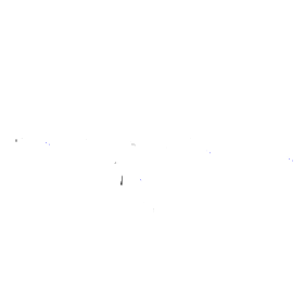 CCCn1cc2c3c(cccc31)[C@H]1CC(C(=O)NCc3cccnc3)CN(C)[C@@H]1C2